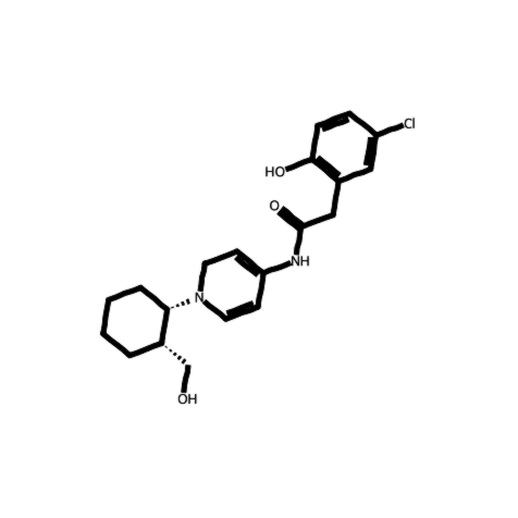 O=C(Cc1cc(Cl)ccc1O)NC1=CCN([C@H]2CCCC[C@H]2CO)C=C1